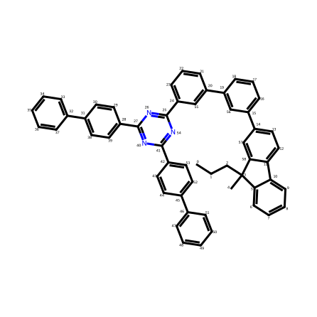 CCCC1(C)c2ccccc2-c2ccc(-c3cccc(-c4cccc(-c5nc(-c6ccc(-c7ccccc7)cc6)nc(-c6ccc(-c7ccccc7)cc6)n5)c4)c3)cc21